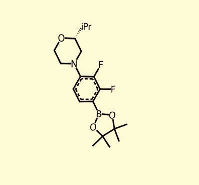 CC(C)[C@@H]1CN(c2ccc(B3OC(C)(C)C(C)(C)O3)c(F)c2F)CCO1